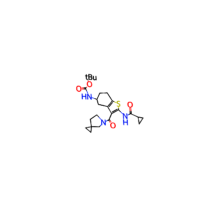 CC(C)(C)OC(=O)NC1CCc2sc(NC(=O)C3CC3)c(C(=O)N3CCC4(CC4)C3)c2C1